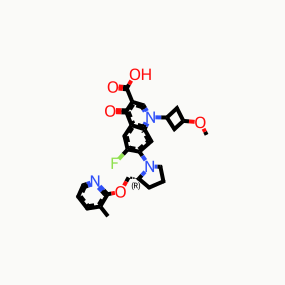 COC1CC(n2cc(C(=O)O)c(=O)c3cc(F)c(N4CCC[C@@H]4COc4ncccc4C)cc32)C1